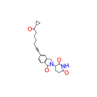 O=C1CCC(N2Cc3cc(C#CCCCCC(=O)C4CC4)ccc3C2=O)C(=O)N1